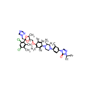 [2H]c1c([2H])c(N2CCN(c3ccc(-n4cnn(C(CC)C(C)C)c4=O)cc3C)CC2C)c([2H])c(C)c1OC[C@H]1O[C@](Cn2cncn2)(c2c(Cl)cc(Cl)c(C)c2C)OC1C